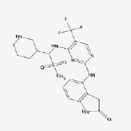 CS(=O)(=O)C(Nc1nc(Nc2cccc3c2CC(=O)N3)ncc1C(F)(F)F)C1CCCNC1